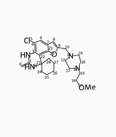 C=C1Nc2c(Cl)cc3cc(CN4CCN(CCOC)CC4)oc3c2C2(CCCCC2)N1